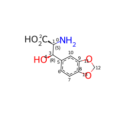 N[C@H](C(=O)O)[C@H](O)c1ccc2c(c1)OCO2